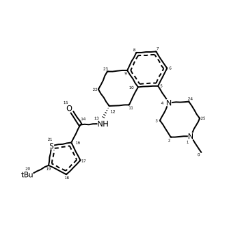 CN1CCN(c2cccc3c2C[C@H](NC(=O)c2ccc(C(C)(C)C)s2)CC3)CC1